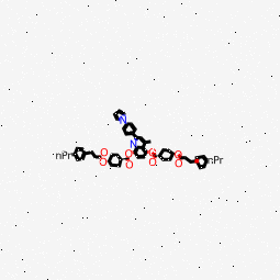 CCCc1ccc(CCC(=O)O[C@H]2CC[C@H](C(=O)Oc3ccc(OC(=O)[C@H]4CC[C@H](OC(=O)CCc5ccc(CCC)cc5)CC4)c4c(C)cc(-c5ccc(-n6cccc6)cc5)nc34)CC2)cc1